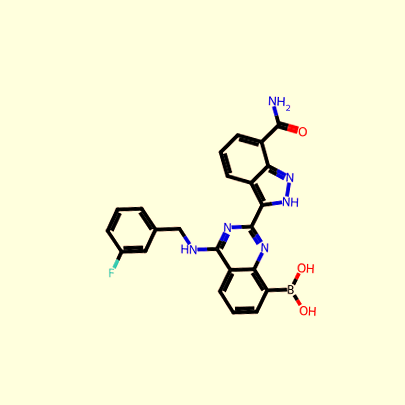 NC(=O)c1cccc2c(-c3nc(NCc4cccc(F)c4)c4cccc(B(O)O)c4n3)[nH]nc12